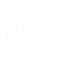 CCCCCCCCCCCCCCSC(C)(C)CC(C)=O